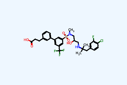 CN(CC(O)CNC(C)(C)Cc1ccc(Cl)c(F)c1)S(=O)(=O)c1cc(-c2cccc(CCC(=O)O)c2)cc(C(F)(F)F)c1